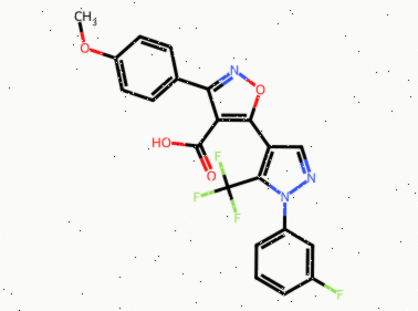 COc1ccc(-c2noc(-c3cnn(-c4cccc(F)c4)c3C(F)(F)F)c2C(=O)O)cc1